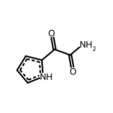 NC(=O)C(=O)c1ccc[nH]1